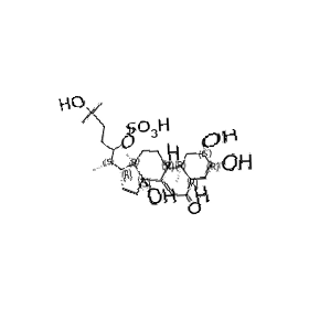 C[C@H](C(CCC(C)(C)O)OS(=O)(=O)O)[C@H]1CC[C@@]2(O)C3=CC(=O)[C@@H]4C[C@@H](O)[C@@H](O)C[C@]4(C)[C@H]3CC[C@]12C